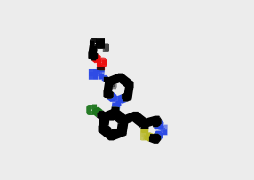 CCON[C@@H]1CCCN(c2c(Cl)cccc2C=C2C=NCS2)C1